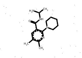 Cc1cc(C(=O)NC(C)N)c(N2CCCCC2)nc1C